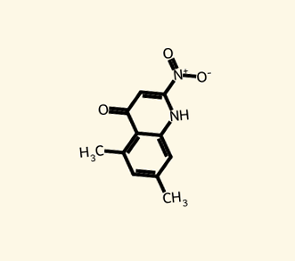 Cc1cc(C)c2c(=O)cc([N+](=O)[O-])[nH]c2c1